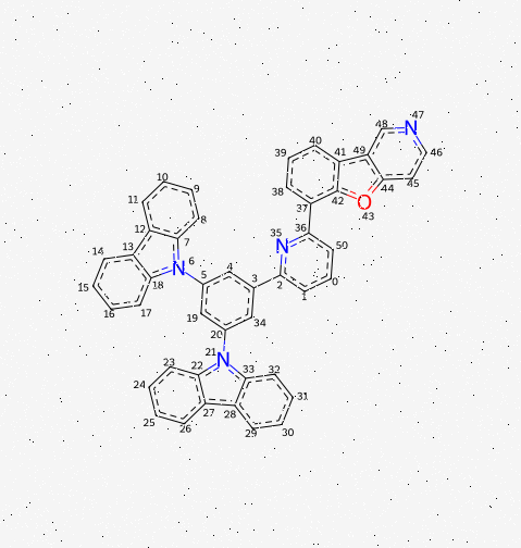 c1cc(-c2cc(-n3c4ccccc4c4ccccc43)cc(-n3c4ccccc4c4ccccc43)c2)nc(-c2cccc3c2oc2ccncc23)c1